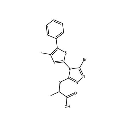 Cc1cc(-n2c(Br)nnc2SC(C)C(=O)O)sc1-c1ccccc1